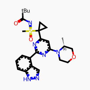 C[C@@H]1COCCN1c1cc(C2(S(C)(=O)=NC(=O)C(C)(C)C)CC2)nc(-c2cccc3[nH]ncc23)n1